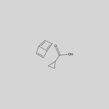 O=C(O)C1CC1.c1cc2ccc1-2